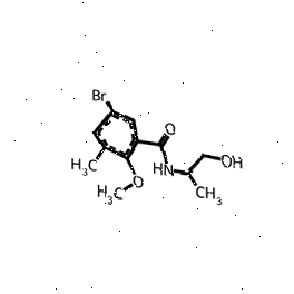 COc1c(C)cc(Br)cc1C(=O)NC(C)CO